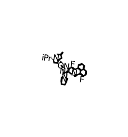 C#Cc1c(F)ccc2cccc(-c3ncc4c(N5CC6CCC(C5)N6)nc(OC[C@@]56CC[C@@H](C(C)C)N5CC(=C)C6)nc4c3F)c12